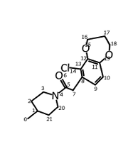 CC1CCN(C(=O)Cc2ccc3c(c2Cl)OCCCO3)CC1